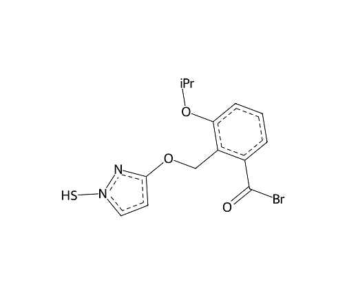 CC(C)Oc1cccc(C(=O)Br)c1COc1ccn(S)n1